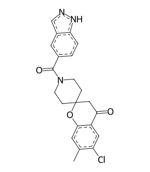 Cc1cc2c(cc1Cl)C(=O)CC1(CCN(C(=O)c3ccc4[nH]ncc4c3)CC1)O2